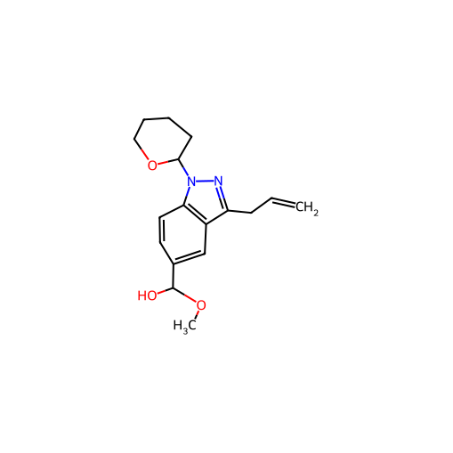 C=CCc1nn(C2CCCCO2)c2ccc(C(O)OC)cc12